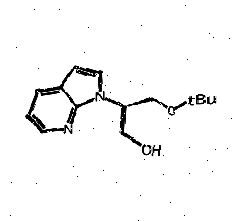 CC(C)(C)OC[C@@H](CO)n1ccc2cccnc21